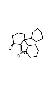 O=C1CCCC(C2CCCCC2)(C2CCCCC2)C1=S(=O)=O